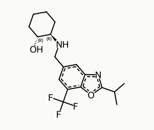 CC(C)c1nc2cc(CN[C@@H]3CCCC[C@H]3O)cc(C(F)(F)F)c2o1